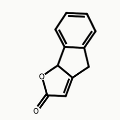 O=C1C=C2Cc3ccccc3C2O1